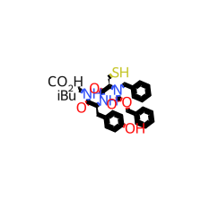 CC[C@H](C)[C@H](NC(=O)[C@H](Cc1ccc(O)cc1)NC(=O)[C@H](CS)N(Cc1ccccc1)C(=O)OCc1ccccc1)C(=O)O